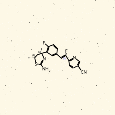 C[C@@H]1C[C@@](C)(c2cc(/C=C(\F)c3ccc(C#N)cn3)ccc2F)N=C(N)S1